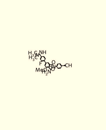 C#Cc1ccc(NC(=O)c2cc(-c3ccc(C(=N)N(C)C)cc3F)cc(OC)c2C(N)=O)cc1